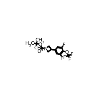 CC(C)(C)OC(=O)N1CC(c2cc(F)c(OC(F)(F)F)c(F)c2)C1